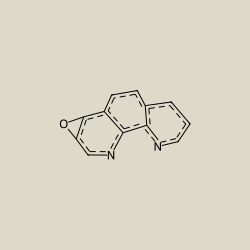 c1cnc2c(c1)ccc1c3c(cnc12)O3